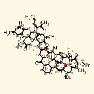 C=C/C=C\C(=C)C[C@@H](C(=O)N[C@@H](CC(=C)/C=C\C(=C)O)C(=O)N(C)[C@@H](CC(C)C)C(N)=O)N(C)C(=O)C(CC(C)C)NC(=O)CC(NC(=O)[C@H](CC)N(C)C(=O)[C@H](CC(C)C)N(C)C(=O)[C@H](C)NC(=O)[C@H](CC(C)C)N(C)C(=O)CN(CCCC)C(=O)CC(C)O)C(=O)N1CCCCC1